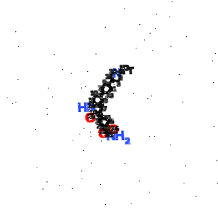 CC(C)N1CCC(c2ccc(-c3ccc4[nH]c(=O)c(-c5ccc(S(N)(=O)=O)cc5)cc4c3)cc2)CC1